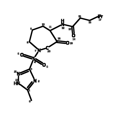 Cc1nc(S(=O)(=O)N2CCCC(NC(=O)CCC(C)C)C(=O)C2)n[nH]1